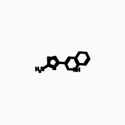 Nc1nc(C2=CC3=C(C=CCC3)NC2)cs1